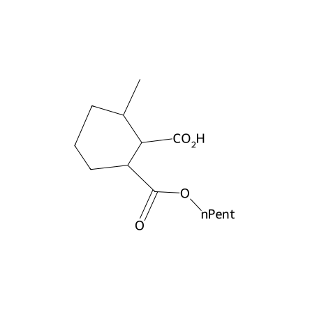 CCCCCOC(=O)C1CCCC(C)C1C(=O)O